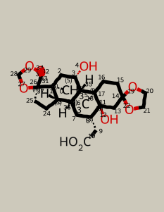 C[C@]12C[C@H](O)[C@H]3[C@@H](C[C@@H](CC(=O)O)[C@@]4(O)CC5(CC[C@]34C)OCCO5)[C@@H]1CC[C@@]21OCOC12COCO2